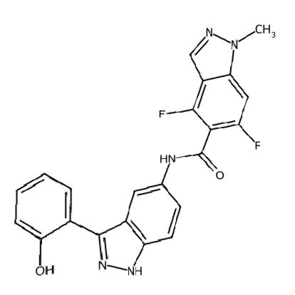 Cn1ncc2c(F)c(C(=O)Nc3ccc4[nH]nc(-c5ccccc5O)c4c3)c(F)cc21